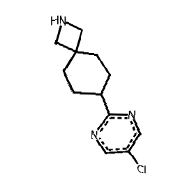 Clc1cnc(C2CCC3(CC2)CNC3)nc1